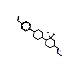 C=Cc1ccc(C2CCC(C3CCC(/C=C/C)CC3(F)F)CC2)cc1